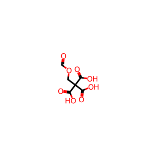 O=COCC(C(=O)O)(C(=O)O)C(=O)O